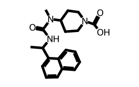 CC(NC(=O)N(C)C1CCN(C(=O)O)CC1)c1cccc2ccccc12